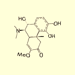 COC1=CC2[C@@H](N(C)C)[C@H](O)c3ccc(O)c(O)c3[C@]2(C)CC1=O